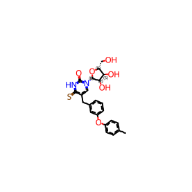 Cc1ccc(Oc2cccc(Cc3cn([C@@H]4O[C@H](CO)[C@@H](O)[C@H]4O)c(=O)[nH]c3=S)c2)cc1